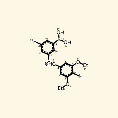 CCOc1cc(C=O)cc(OCC)c1I.OB(O)c1cc(F)cc(F)c1